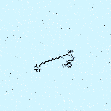 CC(C)S(C#CCCCCCCCCCCCOCCCOP(=O)(O)CO[C@H](C)Cn1cnc2c(N)ncnc21)(C(C)C)C(C)C